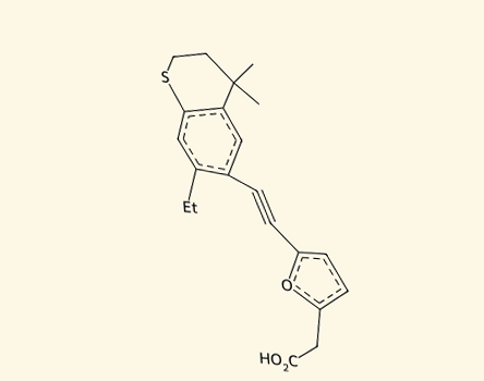 CCc1cc2c(cc1C#Cc1ccc(CC(=O)O)o1)C(C)(C)CCS2